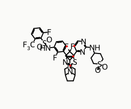 O=S1(=O)CCC(Nc2nccc(-c3sc(N4C5CCC4CN(C4CC(F)(F)C4)C5)nc3-c3cccc(NS(=O)(=O)c4c(F)cccc4C(F)(F)F)c3F)n2)CC1